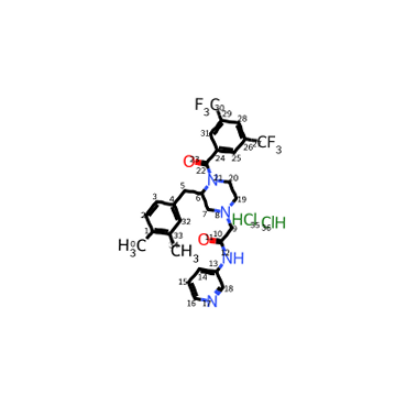 Cc1ccc(CC2CN(CC(=O)Nc3cccnc3)CCN2C(=O)c2cc(C(F)(F)F)cc(C(F)(F)F)c2)cc1C.Cl.Cl